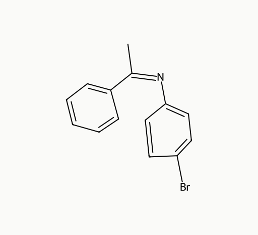 C/C(=N/c1ccc(Br)cc1)c1ccccc1